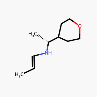 C/C=C/N[C@H](C)C1CCOCC1